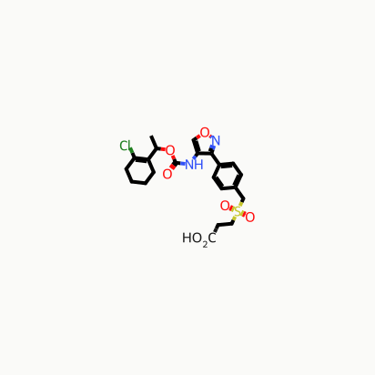 CC(OC(=O)Nc1conc1-c1ccc(CS(=O)(=O)CCC(=O)O)cc1)C1=C(Cl)CCCC1